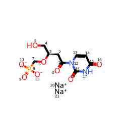 O=C(C[C@H](CO)OCP(=O)([O-])[O-])n1ccc(=O)[nH]c1=O.[Na+].[Na+]